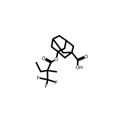 CCC(C)(C(=O)OC12CC3CC(C1)CC(C(=O)O)(C3)C2)C(F)(F)F